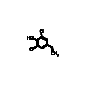 C=Cc1cc(Cl)c(O)c(Cl)c1